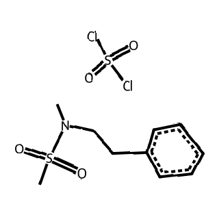 CN(CCc1ccccc1)S(C)(=O)=O.O=S(=O)(Cl)Cl